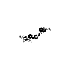 Cc1ccc2c(OCCN3CCC(=Cc4cccc(N5C[C@@H](C)NC[C@@H]5C)c4)CC3)cccc2n1